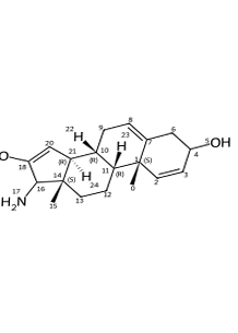 C[C@]12C=CC(O)CC1=CC[C@@H]1[C@H]2CC[C@]2(C)C(N)C(O)=C[C@@H]12